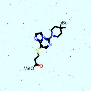 CCCCC1(C)CCN(c2ncc(SCCC(=O)OC)c3nccn23)CC1